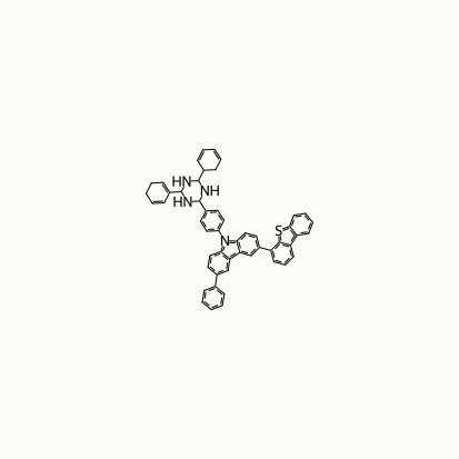 C1=CCC(C2NC(C3=CCCC=C3)NC(c3ccc(-n4c5ccc(-c6ccccc6)cc5c5cc(-c6cccc7c6sc6ccccc67)ccc54)cc3)N2)C=C1